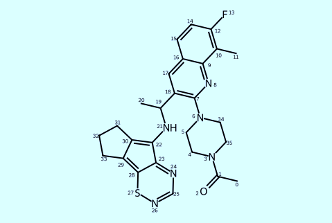 CC(=O)N1CCN(c2nc3c(C)c(F)ccc3cc2C(C)Nc2c3ncnsc-3c3c2CCC3)CC1